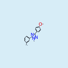 [CH2]c1cccc(-c2nc(-c3ccc(OC)cc3)nn2C)c1